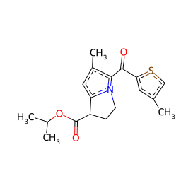 Cc1csc(C(=O)c2c(C)cc3n2CCC3C(=O)OC(C)C)c1